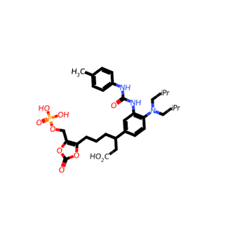 Cc1ccc(NC(=O)Nc2cc(C(CCCc3oc(=O)oc3COP(=O)(O)O)CC(=O)O)ccc2N(CC(C)C)CC(C)C)cc1